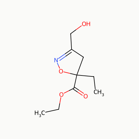 CCOC(=O)C1(CC)CC(CO)=NO1